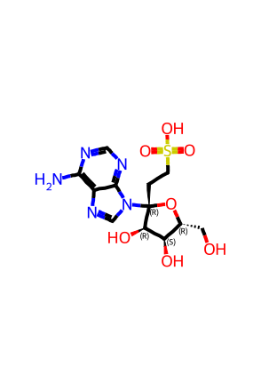 Nc1ncnc2c1ncn2[C@]1(CCS(=O)(=O)O)O[C@H](CO)[C@@H](O)[C@H]1O